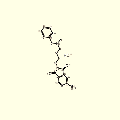 CN(CCCCN1C(=O)c2ccc(N)cc2C1=O)Cc1ccccc1.Cl